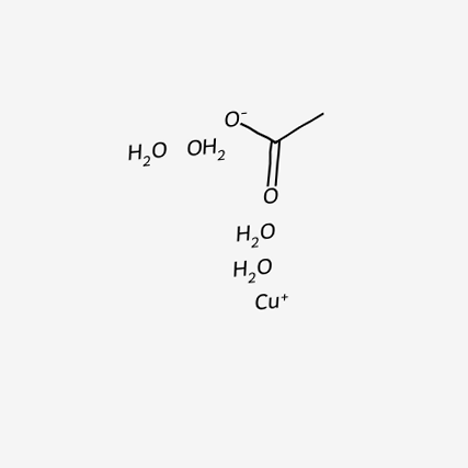 CC(=O)[O-].O.O.O.O.[Cu+]